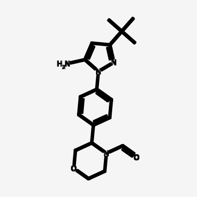 CC(C)(C)c1cc(N)n(-c2ccc(C3COCCN3C=O)cc2)n1